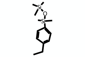 CCc1ccc([Si](C)(C)O[Si](C)(C)C)cc1